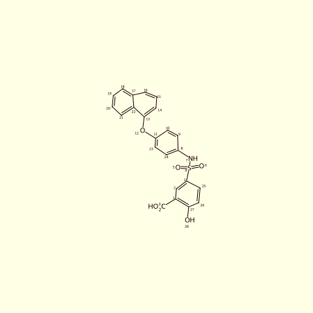 O=C(O)c1cc(S(=O)(=O)Nc2ccc(Oc3cccc4ccccc34)cc2)ccc1O